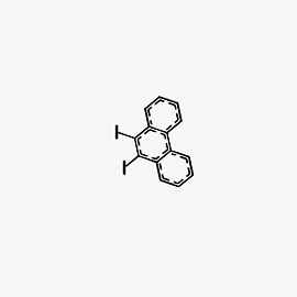 Ic1c(I)c2ccccc2c2ccccc12